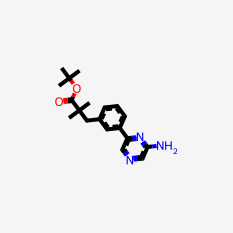 CC(C)(C)OC(=O)C(C)(C)Cc1cccc(-c2cncc(N)n2)c1